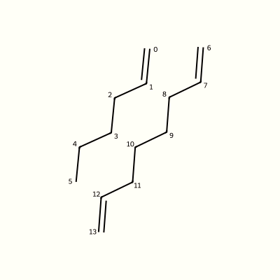 C=CCCCC.C=CCCCCC=C